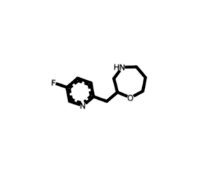 Fc1ccc(C[C]2CNCCCO2)nc1